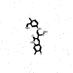 Cc1cc2[nH]c(=O)c(/C(=C/Nc3ccc(C)c(C=N)c3)N=N)cc2cc1F